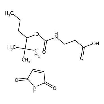 CCCC(OC(=O)NCCC(=O)O)C(C)(C)C.O=C1C=CC(=O)N1